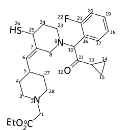 CCOC(=O)CN1CCC(C=C2CN(C(C(=O)C3CC3)c3ccccc3F)CCC2S)CC1